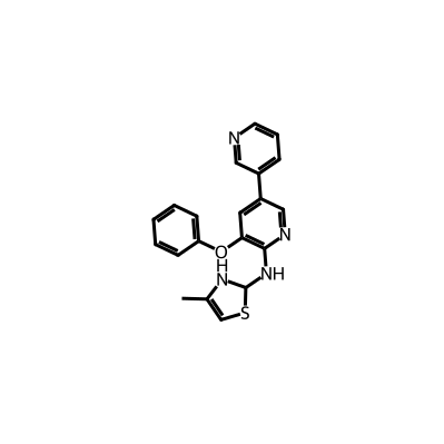 CC1=CSC(Nc2ncc(-c3cccnc3)cc2Oc2ccccc2)N1